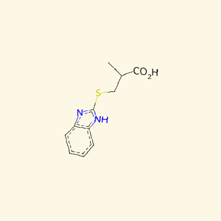 CC(CSc1nc2ccccc2[nH]1)C(=O)O